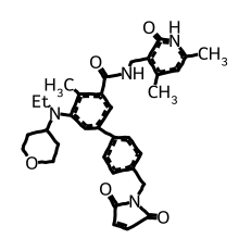 CCN(c1cc(-c2ccc(CN3C(=O)C=CC3=O)cc2)cc(C(=O)NCc2c(C)cc(C)[nH]c2=O)c1C)C1CCOCC1